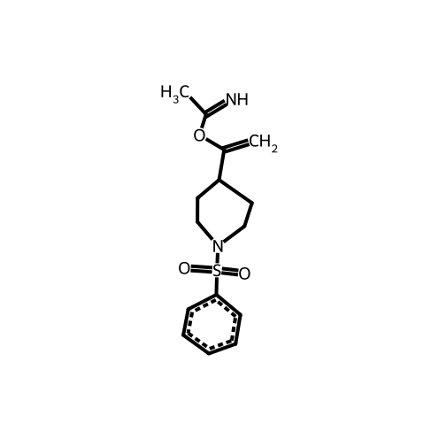 C=C(OC(C)=N)C1CCN(S(=O)(=O)c2ccccc2)CC1